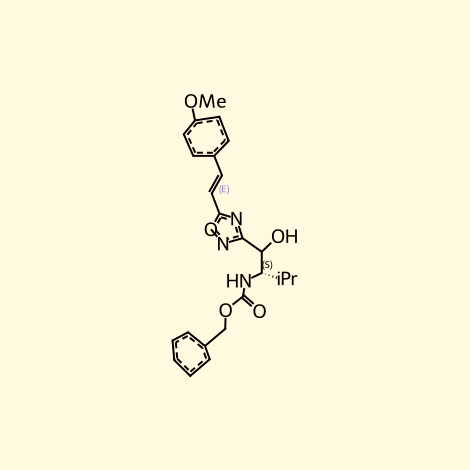 COc1ccc(/C=C/c2nc(C(O)[C@@H](NC(=O)OCc3ccccc3)C(C)C)no2)cc1